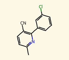 Cc1ccc(C#N)c(-c2cccc(Cl)c2)n1